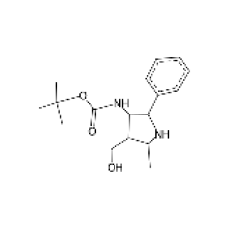 CC1NC(c2ccccc2)C(NC(=O)OC(C)(C)C)C1CO